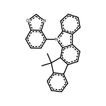 CC1(C)c2ccccc2-c2ccc3c4ccccc4n(-c4cccc5ocnc45)c3c21